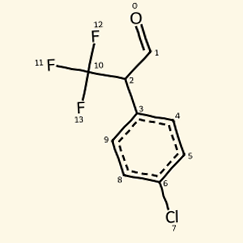 O=CC(c1ccc(Cl)cc1)C(F)(F)F